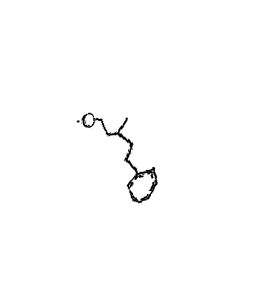 CC(CC[O])CCc1ccccc1